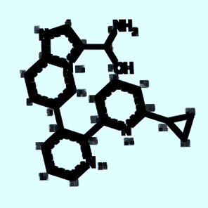 NC(O)c1cnc2ccc(-c3cccnc3-c3cccc(C4CC4)n3)cn12